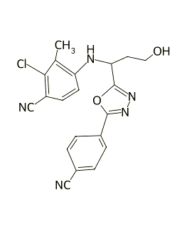 Cc1c(NC(CCO)c2nnc(-c3ccc(C#N)cc3)o2)ccc(C#N)c1Cl